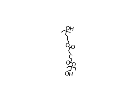 CCC(C)(O)CCCCOC(=O)CCCCC(=O)OC(CC)(CC)CCO